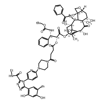 CCNC(=O)c1nnc(-c2cc(C(C)C)c(O)cc2O)n1-c1ccc(N2CCN(C(=O)CCC(=O)O[C@@H](C(=O)O[C@H]3C[C@@]4(O)[C@@H](OC(=O)c5ccccc5)C5[C@](C)(C(=O)[C@H](O)C(=C3C)C4(C)C)[C@@H](O)C[C@H]3OC[C@@]53OC(C)=O)[C@@H](NC(=O)OC(C)(C)C)c3ccccc3)CC2)nc1